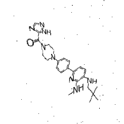 CNc1nc(-c2ccc(N3CCN(C(=O)c4ncn[nH]4)CC3)cc2)ccc1NCC(C)(C)C